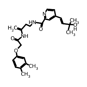 C=C(CCNC(=O)c1cc(/C=C/C(C)(C)O)ccn1)NC(=O)COc1ccc(C)c(C)c1